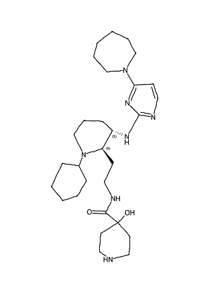 O=C(NCC[C@@H]1[C@@H](Nc2nccc(N3CCCCCC3)n2)CCCN1C1CCCCC1)C1(O)CCNCC1